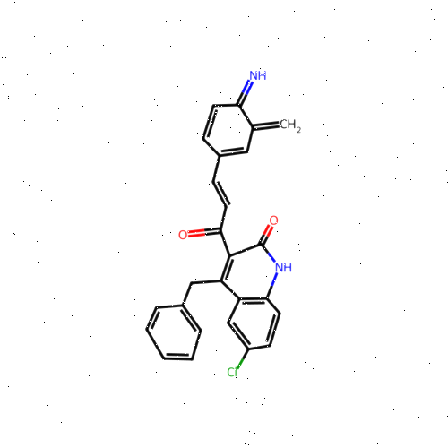 C=C1C=C(/C=C/C(=O)c2c(Cc3ccccc3)c3cc(Cl)ccc3[nH]c2=O)C=CC1=N